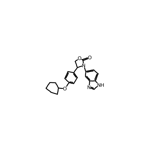 O=C1OCC(c2ccc(OC3CCCCC3)cc2)N1c1ccc2[nH]cnc2c1